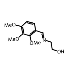 COc1ccc(C=NCCO)c(OC)c1OC